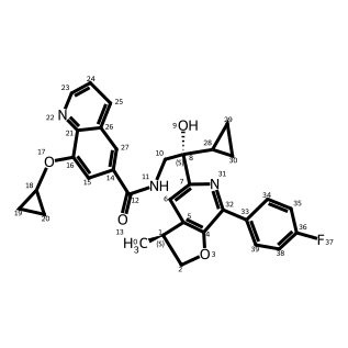 C[C@@H]1COc2c1cc([C@@](O)(CNC(=O)c1cc(OC3CC3)c3ncccc3c1)C1CC1)nc2-c1ccc(F)cc1